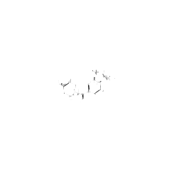 O=C(c1ccc2c(c1)no[n+]2[O-])N1CC=C(F)CC1